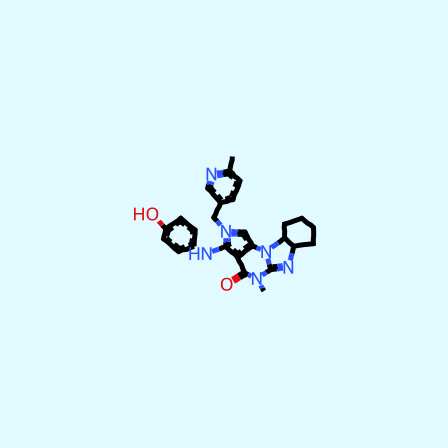 Cc1ccc(Cn2cc3c(c2Nc2ccc(O)cc2)C(=O)N(C)C2=NC4CCCCC4N23)cn1